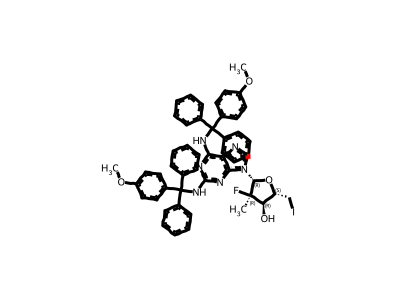 COc1ccc(C(Nc2nc(NC(c3ccccc3)(c3ccccc3)c3ccc(OC)cc3)c3ncn([C@@H]4O[C@H](CI)[C@@H](O)[C@@]4(C)F)c3n2)(c2ccccc2)c2ccccc2)cc1